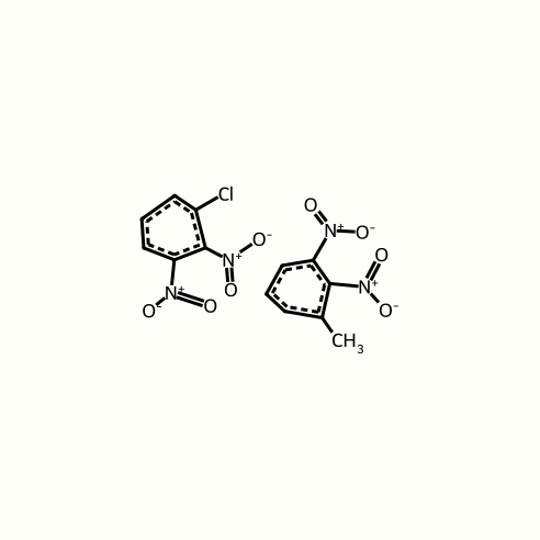 Cc1cccc([N+](=O)[O-])c1[N+](=O)[O-].O=[N+]([O-])c1cccc(Cl)c1[N+](=O)[O-]